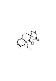 CC1(C)CCC2CC=CCC2(C)C1=O